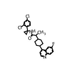 CC(C(=O)NC1(c2ccc(Cl)cc2Cl)CC1)C1CCC(c2ccnc3ccc(F)cc23)CC1